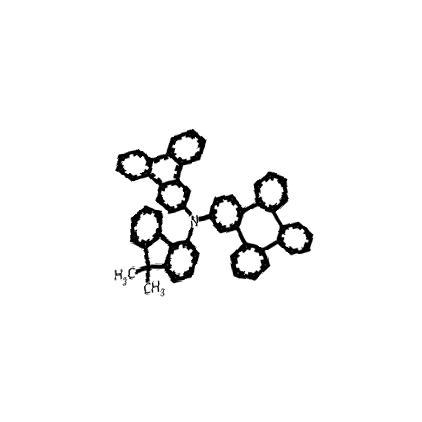 CC1(C)c2ccccc2-c2c(N(c3ccc4c(c3)-c3ccccc3-c3ccccc3-c3ccccc3-4)c3ccc4c5ccccc5c5ccccc5c4c3)cccc21